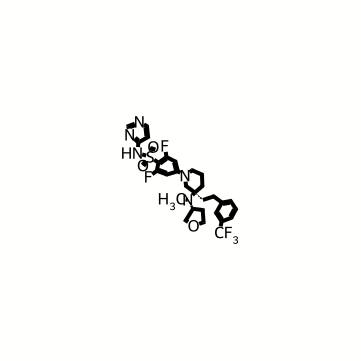 CN([C@H]1CCOC1)[C@]1(CCc2cccc(C(F)(F)F)c2)CCCN(c2cc(F)c(S(=O)(=O)Nc3ccncn3)c(F)c2)C1